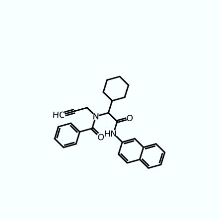 C#CCN(C(=O)c1ccccc1)C(C(=O)Nc1ccc2ccccc2c1)C1CCCCC1